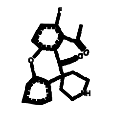 CC(=O)c1c(F)ccc2c1C(=O)C1(CCNCC1)c1ccccc1O2